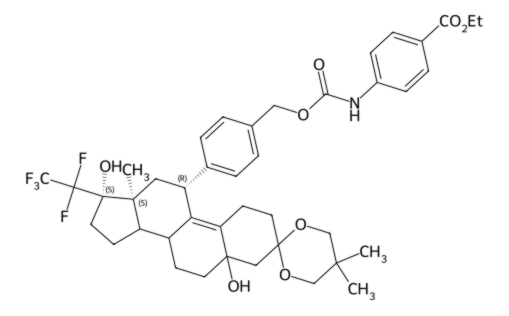 CCOC(=O)c1ccc(NC(=O)OCc2ccc([C@H]3C[C@@]4(C)C(CC[C@@]4(O)C(F)(F)C(F)(F)F)C4CCC5(O)CC6(CCC5=C43)OCC(C)(C)CO6)cc2)cc1